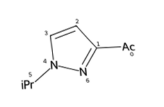 CC(=O)c1ccn(C(C)C)n1